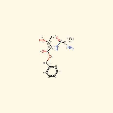 CC[C@H](C)[C@H](N)C(=O)N[C@H](C(=O)OCc1ccccc1)[C@H](C)O